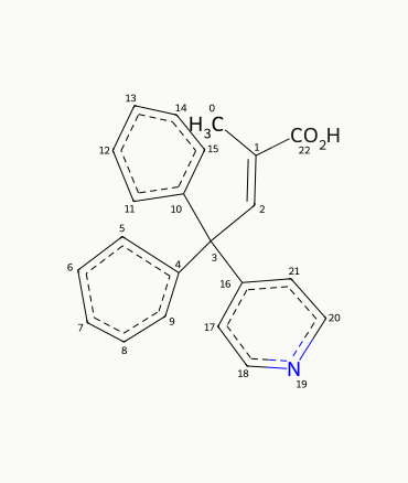 C/C(=C\C(c1ccccc1)(c1ccccc1)c1ccncc1)C(=O)O